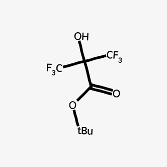 CC(C)(C)OC(=O)C(O)(C(F)(F)F)C(F)(F)F